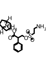 CN1[C@@H]2CC[C@H]1C[C@@H](OC(=O)C(COS(=O)(=O)CCN)c1ccccc1)C2